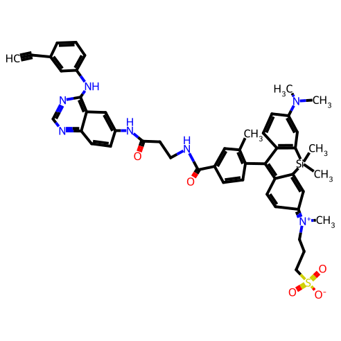 C#Cc1cccc(Nc2ncnc3ccc(NC(=O)CCNC(=O)c4ccc(C5=C6C=C/C(=[N+](/C)CCCS(=O)(=O)[O-])C=C6[Si](C)(C)c6cc(N(C)C)ccc65)c(C)c4)cc23)c1